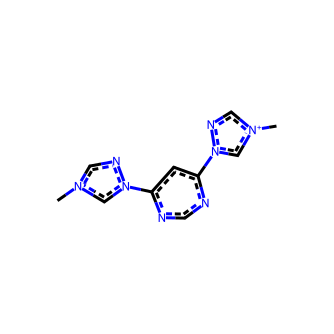 C[n+]1cnn(-c2cc(-n3c[n+](C)cn3)ncn2)c1